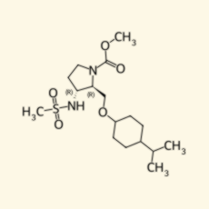 COC(=O)N1CC[C@@H](NS(C)(=O)=O)[C@@H]1COC1CCC(C(C)C)CC1